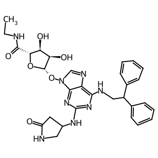 CCNC(=O)[C@H]1O[C@@H](On2cnc3c(NCC(c4ccccc4)c4ccccc4)nc(NC4CNC(=O)C4)nc32)[C@H](O)[C@@H]1O